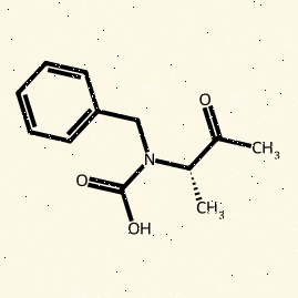 CC(=O)[C@H](C)N(Cc1ccccc1)C(=O)O